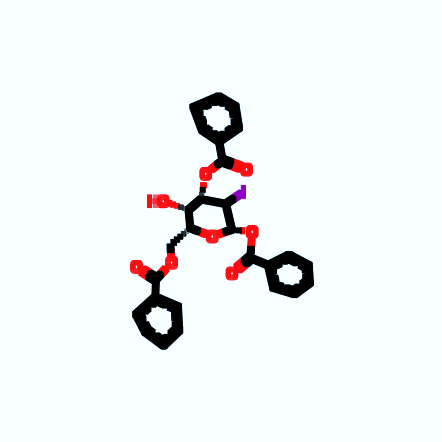 O=C(OC[C@H]1O[C@@H](OC(=O)c2ccccc2)C(I)[C@@H](OC(=O)c2ccccc2)[C@H]1O)c1ccccc1